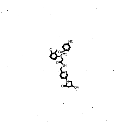 [C-]#[N+]c1ccc(S(=O)(=O)N(CC(=O)NCc2ccc(N3CC(O)CC3=O)cn2)c2cccc(Cl)c2C)cc1